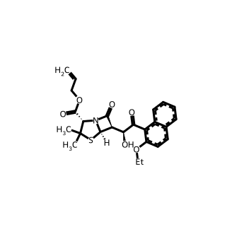 C=CCOC(=O)[C@@H]1N2C(=O)[C@@H]([C@H](O)C(=O)c3c(OCC)ccc4ccccc34)[C@H]2SC1(C)C